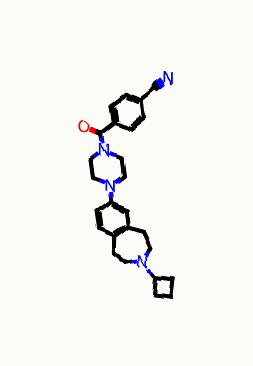 N#Cc1ccc(C(=O)N2CCN(c3ccc4c(c3)CCN(C3CCC3)CC4)CC2)cc1